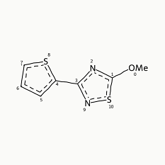 COc1nc(-c2cc[c]s2)ns1